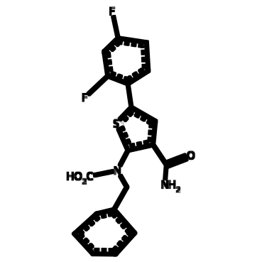 NC(=O)c1cc(-c2ccc(F)cc2F)sc1N(Cc1ccccc1)C(=O)O